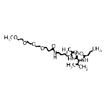 CCCCC(=O)N[C@H](C(=O)N[C@@H](CCCCNC(=O)CCOCCOCCOCCOC)C(C)=O)C(C)C